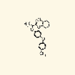 CC(Oc1ccc(Oc2ccc(C(F)(F)F)cc2)cc1)C(=O)OC1CCCCC1Cl